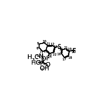 CN(OP(=O)(O)O)[C@@H]1CCCc2cc(Sc3cccc(F)c3)cc(F)c21